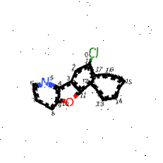 Clc1cc2c3ncccc3oc2c2ccccc12